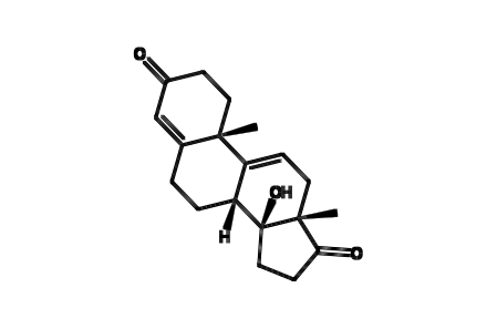 C[C@]12CCC(=O)C=C1CC[C@@H]1C2=CC[C@]2(C)C(=O)CC[C@]12O